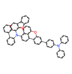 c1ccc(-c2ccccc2N(c2ccc3c4c(cccc24)Oc2cc(-c4ccc(N(c5ccccc5)c5ccccc5)cc4)ccc2-3)c2cccc3c2oc2ccccc23)cc1